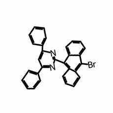 Brc1c2ccccc2c(-c2nc(-c3ccccc3)cc(-c3ccccc3)n2)c2ccccc12